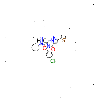 CC1(C(=O)NC2CCCCCC2)Cn2nc(-c3cccs3)cc2C(=O)N1Cc1ccc(Cl)cc1